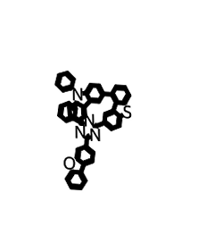 c1ccc(-c2nc(-c3ccc4c(c3)oc3ccccc34)nc(-c3ccc4sc5cccc(-c6ccc7c(c6)c6ccccc6n7-c6ccccc6)c5c4c3)n2)cc1